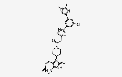 C=C/C=C\c1c(N)[nH]c(=O)n1C1CCN(C(=O)Cc2nnc(-c3cc(Cl)cc(-c4cn(C)c(C)n4)c3)o2)CC1